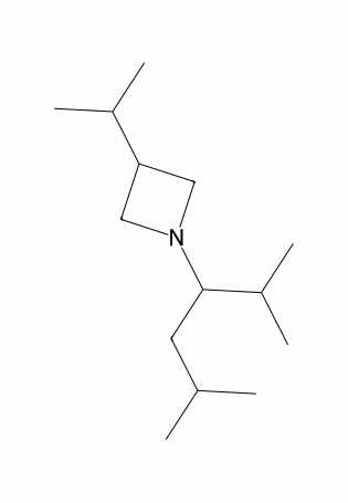 CC(C)CC(C(C)C)N1CC(C(C)C)C1